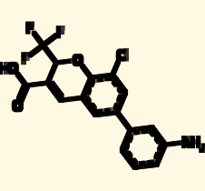 Nc1cccc(-c2cc(Cl)c3c(c2)C=C(C(=O)O)C(C(F)(F)F)O3)c1